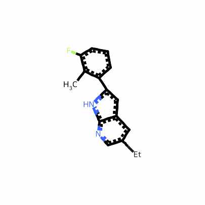 CCc1cnc2[nH]c(-c3cccc(F)c3C)cc2c1